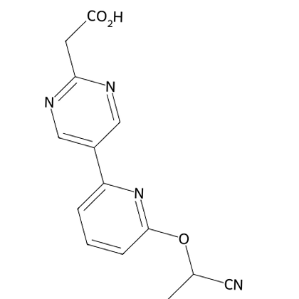 CC(C#N)Oc1cccc(-c2cnc(CC(=O)O)nc2)n1